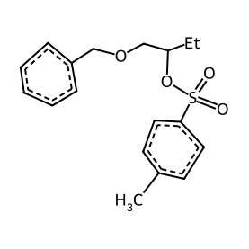 CCC(COCc1ccccc1)OS(=O)(=O)c1ccc(C)cc1